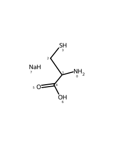 NC(CS)C(=O)O.[NaH]